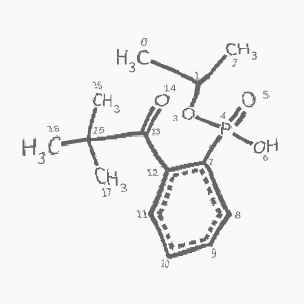 CC(C)OP(=O)(O)c1ccccc1C(=O)C(C)(C)C